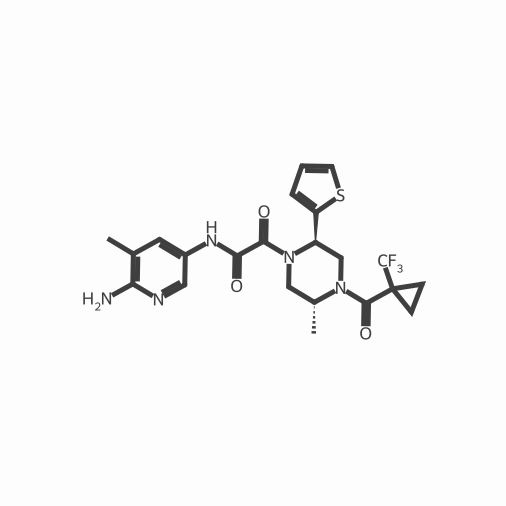 Cc1cc(NC(=O)C(=O)N2C[C@@H](C)N(C(=O)C3(C(F)(F)F)CC3)C[C@@H]2c2cccs2)cnc1N